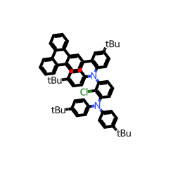 CC(C)(C)c1ccc(N(c2ccc(C(C)(C)C)cc2)c2cccc(N(c3ccc(C(C)(C)C)cc3)c3ccc(C(C)(C)C)cc3-c3ccc4c5ccccc5c5ccccc5c4c3)c2Cl)cc1